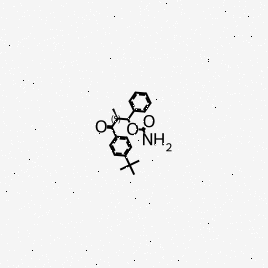 C[C@H](C(=O)c1ccc(C(C)(C)C)cc1)C(OC(N)=O)c1ccccc1